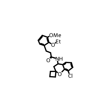 CCOc1c(CCC(=O)NC2CC3(CCC3)Oc3c(Cl)cccc32)cccc1OC